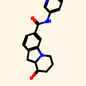 O=C(Nc1cccnc1)c1ccc2c(c1)N1CCCC(=O)C1C2